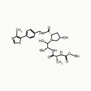 Cc1ncsc1-c1ccc(CNC(=O)[C@@H]2C[C@@H](O)CN2C(O)[C@@H](NC(=O)[C@H](C)NC(=O)OC(C)(C)C)C(C)(C)C)cc1